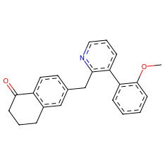 COc1ccccc1-c1cccnc1Cc1ccc2c(c1)CCCC2=O